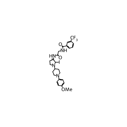 COc1ccc(N2CCC(N3CC[C@@H](NC(=O)CNC(=O)c4cccc(C(F)(F)F)c4)C3I)CC2)cc1